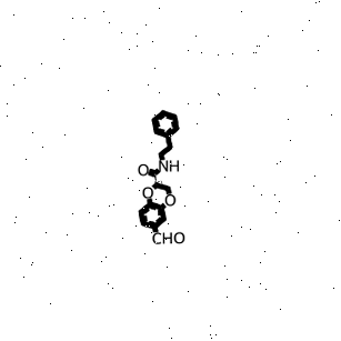 O=Cc1ccc2c(c1)OC[C@@H](C(=O)NCCc1ccccc1)O2